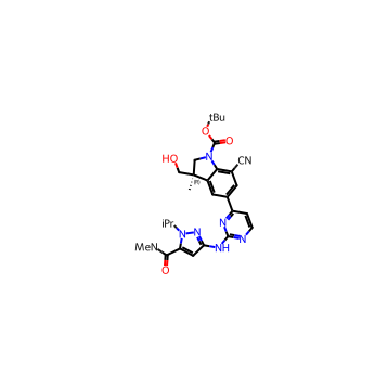 CNC(=O)c1cc(Nc2nccc(-c3cc(C#N)c4c(c3)[C@@](C)(CO)CN4C(=O)OC(C)(C)C)n2)nn1C(C)C